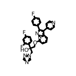 O[C@@](COc1cccc2c(-c3ccncc3)c(-c3ccc(F)cc3)nn12)(Cn1cncn1)c1ccc(F)cc1F